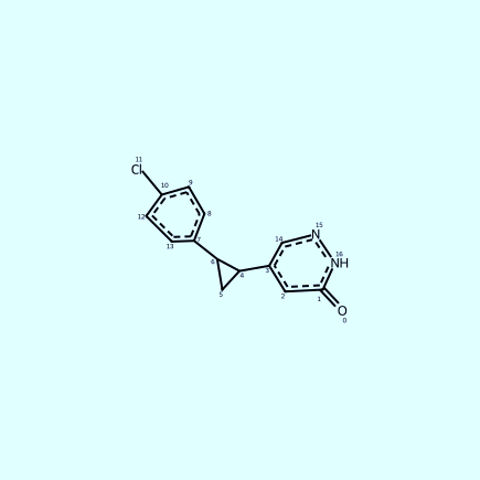 O=c1cc(C2CC2c2ccc(Cl)cc2)cn[nH]1